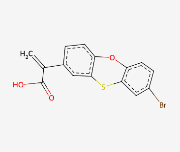 C=C(C(=O)O)c1ccc2c(c1)Sc1cc(Br)ccc1O2